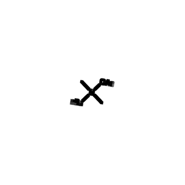 CCCC[Si](C)(C)OC(C)=O